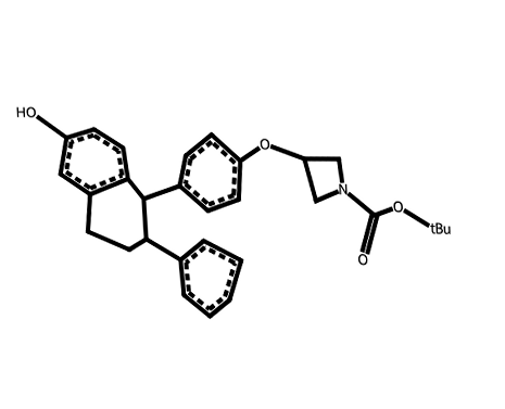 CC(C)(C)OC(=O)N1CC(Oc2ccc(C3c4ccc(O)cc4CCC3c3ccccc3)cc2)C1